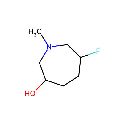 CN1CC(O)CCC(F)C1